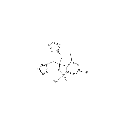 CP(C)(=O)OC(Cn1cncn1)(Cn1cncn1)c1ccc(F)cc1F